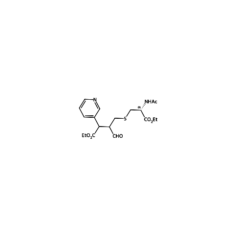 CCOC(=O)C(c1cccnc1)C(C=O)CSC[C@H](NC(C)=O)C(=O)OCC